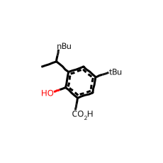 CCCCC(C)c1cc(C(C)(C)C)cc(C(=O)O)c1O